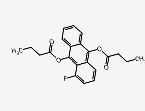 CCCC(=O)Oc1c2ccccc2c(OC(=O)CCC)c2c(F)cccc12